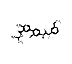 CCc1cccc([C@H](O)C(=O)Nc2ccc(-c3cnc(N)c(C(=O)NC(C)C)c3)c(Cl)c2)c1